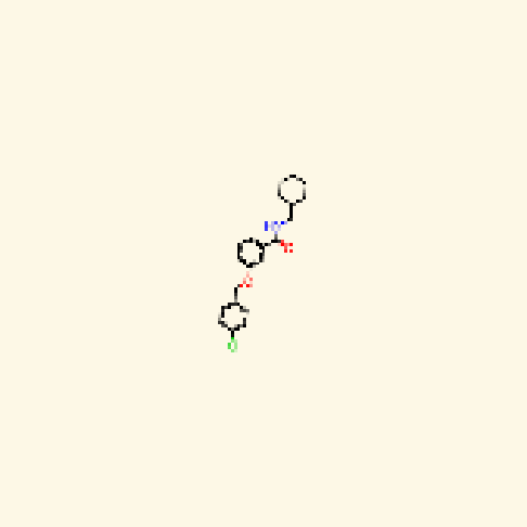 O=C(NCC1CCCCC1)c1cccc(OCc2ccc(Cl)cc2)c1